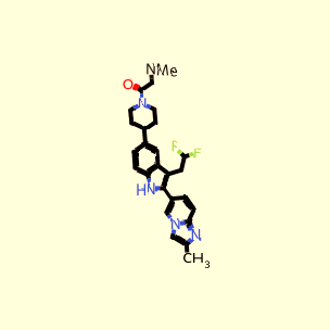 CNCC(=O)N1CCC(c2ccc3[nH]c(-c4ccc5nc(C)cn5c4)c(CC(F)F)c3c2)CC1